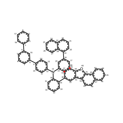 c1ccc(-c2cccc(-c3ccc(N(c4cccc(-c5cccc6ccccc56)c4)c4ccccc4-c4ccc5oc6c7ccccc7ccc6c5c4)cc3)c2)cc1